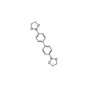 c1cc(-c2ccc(B3OCCO3)cc2)ccc1B1OCCO1